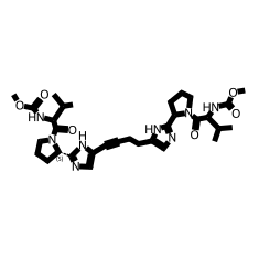 COC(=O)NC(C(=O)N1CCCC1c1ncc(CCC#Cc2cnc([C@@H]3CCCN3C(=O)C(NC(=O)OC)C(C)C)[nH]2)[nH]1)C(C)C